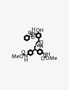 COC(=O)Nc1ccc(C(CNC[C@H](O)c2ccc(O)c(NS(=O)(=O)c3ccccc3)c2)c2ccc(NC(=O)OC)cc2)cc1